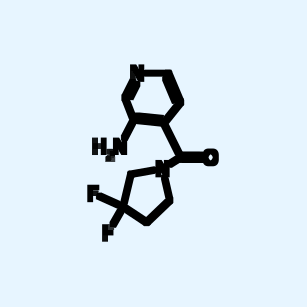 Nc1cnccc1C(=O)N1CCC(F)(F)C1